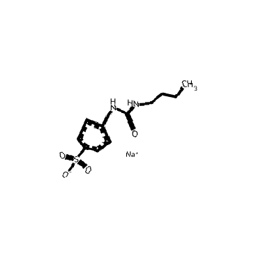 CCCCNC(=O)Nc1ccc(S(=O)(=O)[O-])cc1.[Na+]